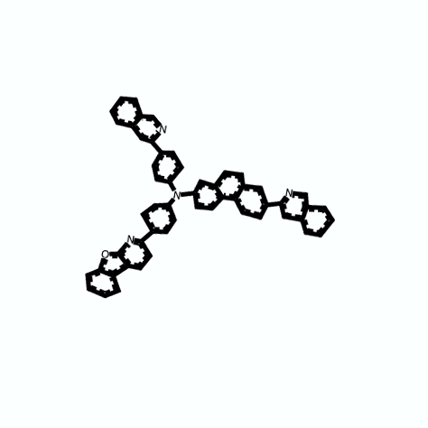 c1ccc2cc(-c3ccc(N(c4ccc(-c5ccc6c(n5)oc5ccccc56)cc4)c4ccc5c(ccc6cc(-c7cc8ccccc8cn7)ccc65)c4)cc3)ncc2c1